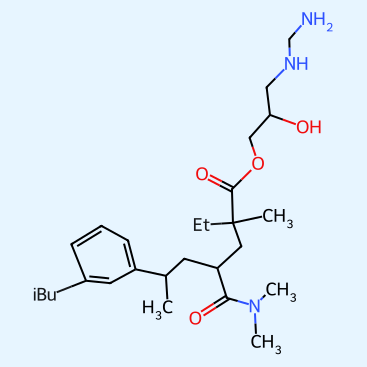 CCC(C)c1cccc(C(C)CC(CC(C)(CC)C(=O)OCC(O)CNCN)C(=O)N(C)C)c1